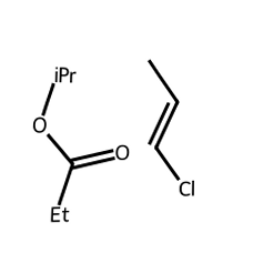 CC=CCl.CCC(=O)OC(C)C